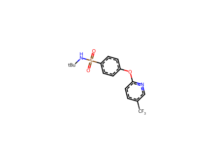 CC(C)(C)NS(=O)(=O)c1ccc(Oc2ccc(C(F)(F)F)cn2)cc1